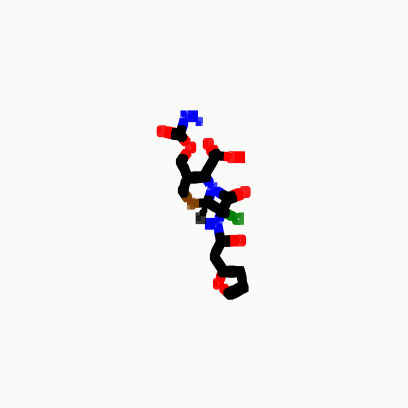 NC(=O)OCC1=C(C(=O)O)N2C(=O)C(Cl)(NC(=O)Cc3ccco3)[C@H]2SC1